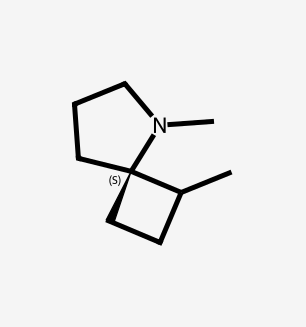 CC1CC[C@]12CCCN2C